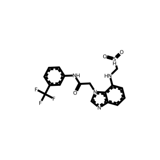 O=C(Cn1cnc2cccc(NC[SH](=O)=O)c21)Nc1cccc(C(F)(F)F)c1